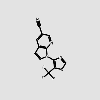 N#Cc1cnc2c(ccn2-c2ncsc2C(F)(F)F)c1